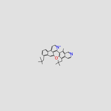 Cc1c2c(c(CC(C)(C)C)c3ccncc13)Oc1cc3c(CC(C)(C)C)cccc3c3cc[n+](C)c-2c13